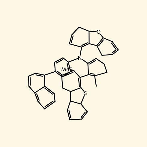 CSC1=CCC2C(=C1C1=C(C)CCC=C1N(C1=C3C4=C(C=C=CC4)OC3CC=C1)c1ccc(-c3cccc4ccccc34)cc1)SC1C=CC=CC12